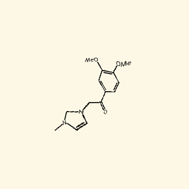 COc1ccc(C(=O)CN2C=CN(C)C2)cc1OC